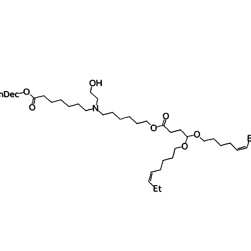 CC/C=C\CCCCOC(CCC(=O)OCCCCCCN(CCO)CCCCCCC(=O)OCCCCCCCCCC)OCCCC/C=C\CC